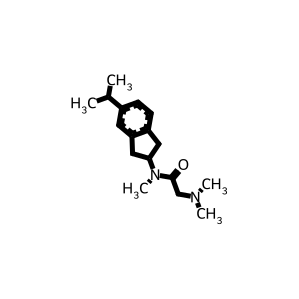 CC(C)c1ccc2c(c1)CC(N(C)C(=O)CN(C)C)C2